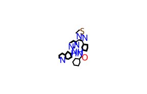 O=C(Nc1cccc(-c2nc3n(c2-c2ccnc(Nc4ccc5ncccc5c4)n2)CCS3)c1)C1CCCCC1